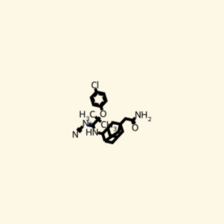 CC(C)(Oc1ccc(Cl)cc1)/C(=N/C#N)NC1C2CC3CC1CC(CC(N)=O)(C3)C2